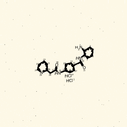 Cl.Cl.Nc1ccccc1NC(=O)c1ccc(NC(=O)Cc2ccccn2)cc1